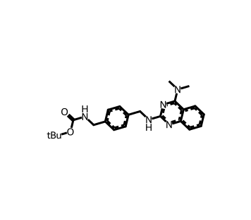 CN(C)c1nc(NCc2ccc(CNC(=O)OC(C)(C)C)cc2)nc2ccccc12